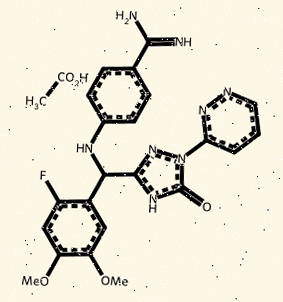 CC(=O)O.COc1cc(F)c(C(Nc2ccc(C(=N)N)cc2)c2nn(-c3cccnn3)c(=O)[nH]2)cc1OC